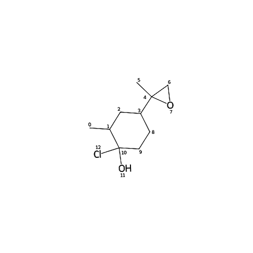 CC1CC(C2(C)CO2)CCC1(O)Cl